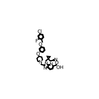 N#CCC1(Cn2c(CN3CCC(Oc4cccc(OCc5ccc(Cl)cc5F)c4)CC3)nc3ccc(C(=O)O)nc32)CC1